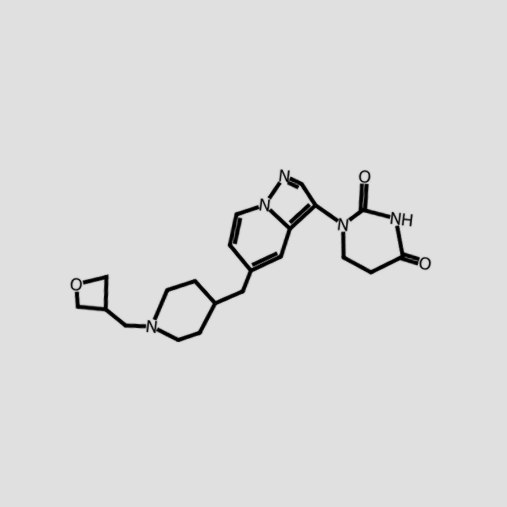 O=C1CCN(c2cnn3ccc(CC4CCN(CC5COC5)CC4)cc23)C(=O)N1